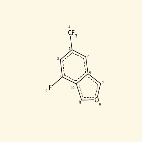 Fc1cc(C(F)(F)F)cc2co[c]c12